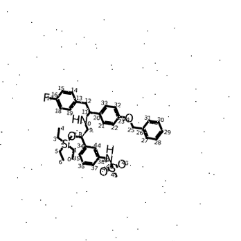 CC[Si](CC)(CC)O[C@@H](CNC(Cc1ccc(F)cc1)c1ccc(OCc2ccccc2)cc1)c1cccc(NS(C)(=O)=O)c1